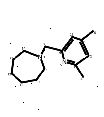 Cc1cc(C)nc(CN2CCCCCC2)c1